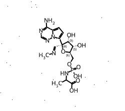 CN=C[C@@]1(c2ccc3c(N)ncnn23)O[C@H](COP(=O)(O)NC(C)C(=O)O)[C@@H](O)[C@H]1O